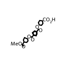 COC(=O)C1CCC(OC(=O)c2ccc(C(=O)OC3CCC(C(=O)O)CC3)cc2)CC1